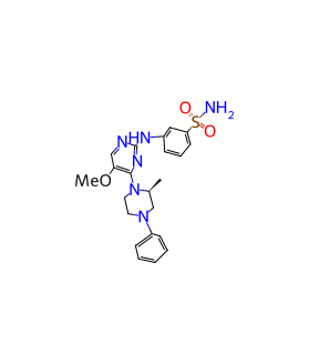 COc1cnc(Nc2cccc(S(N)(=O)=O)c2)nc1N1CCN(c2ccccc2)C[C@@H]1C